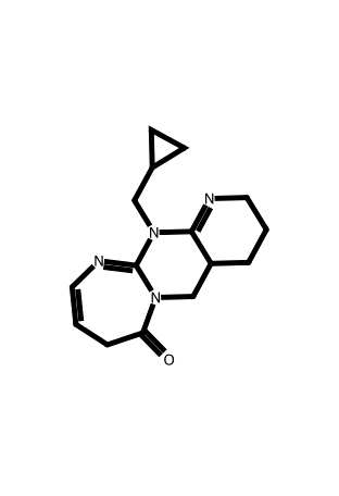 O=C1CC=CN=C2N1CC1CCCN=C1N2CC1CC1